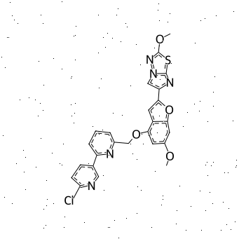 COc1cc(OCc2cccc(-c3ccc(Cl)nc3)n2)c2cc(-c3cn4nc(OC)sc4n3)oc2c1